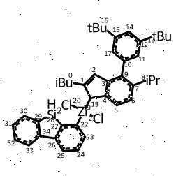 CCC(C)C1=Cc2c(ccc(C(C)C)c2-c2cc(C(C)(C)C)cc(C(C)(C)C)c2)[CH]1[Zr]([Cl])([Cl])[c]1cccc2c1[SiH2]c1ccccc1-2